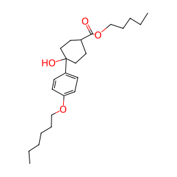 CCCCCCOc1ccc(C2(O)CCC(C(=O)OCCCCC)CC2)cc1